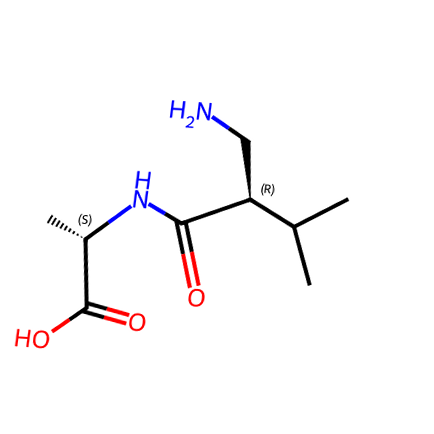 CC(C)[C@H](CN)C(=O)N[C@@H](C)C(=O)O